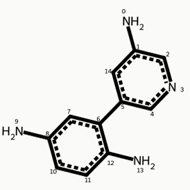 Nc1cncc(-c2cc(N)ccc2N)c1